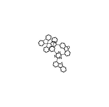 c1ccc(-c2cccc(-c3nc(-c4cccc5c4sc4ccccc45)nc(-c4cccc5oc6ccc(-c7ccc8c(c7)-c7ccccc7C87c8ccccc8-c8ccccc87)cc6c45)n3)c2)cc1